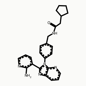 Nc1ncccc1-c1nc2cccnc2n1-c1ccc(CNC(=O)CC2CCCC2)cc1